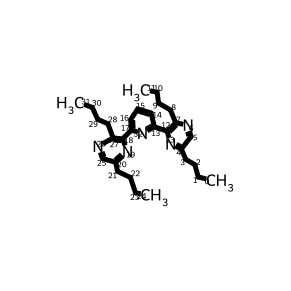 CCCCc1cnc(CCCC)c(-c2cccc(-c3nc(CCCC)cnc3CCCC)n2)n1